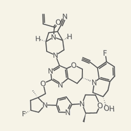 C#Cc1c(F)ccc2c1N([C@H]1COc3c(nc(OC[C@]4(C)C[C@@H](F)CN4c4ccc(N5CCOC[C@H]5C)nc4)nc3N3C[C@H]4CC(C#N)[C@@H](C3)N4C(=O)C=C)C1)C[C@@H](O)C2